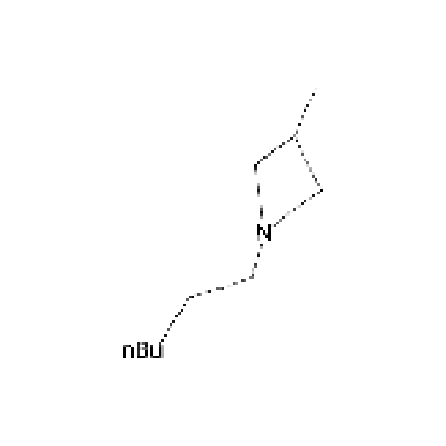 CCCCCCN1CC(C)C1